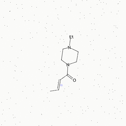 C/C=C/C(=O)N1CCN(CC)CC1